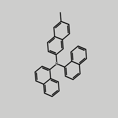 Cc1ccc2cc(N(c3cccc4ccccc34)c3cccc4ccccc34)ccc2c1